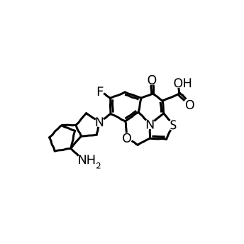 NC12CCC(C1)C1CN(c3c(F)cc4c(=O)c(C(=O)O)c5scc6n5c4c3OC6)CC12